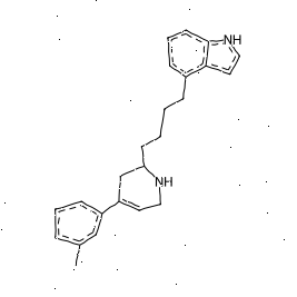 Cc1cccc(C2=CCNC(CCCCc3cccc4[nH]ccc34)C2)c1